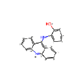 Oc1ccccc1Nc1c2ccccc2nc2ccccc12